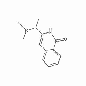 CC(c1cc2ccccc2c(=O)[nH]1)N(C)C